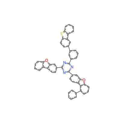 c1ccc(-c2cccc3oc4cc(-c5nc(-c6cccc(-c7ccc8sc9ccccc9c8c7)c6)nc(-c6ccc7c(c6)oc6ccccc67)n5)ccc4c23)cc1